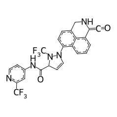 O=C=C1NCc2ccc(N3C=CC(C(=O)Nc4ccnc(C(F)(F)F)c4)N3C(F)(F)F)c3cccc1c23